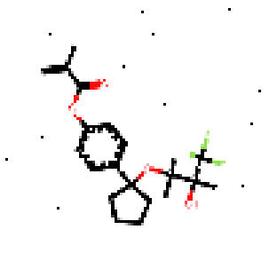 C=C(C)C(=O)Oc1ccc(C2(OC(C)(C)C(C)(O)C(F)(F)F)CCCC2)cc1